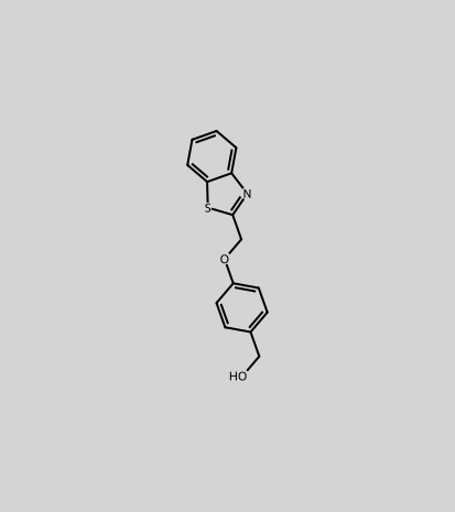 OCc1ccc(OCc2nc3ccccc3s2)cc1